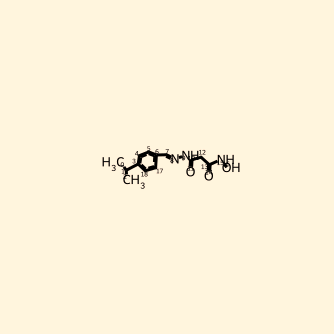 CC(C)c1ccc(/C=N/NC(=O)CC(=O)NO)cc1